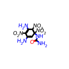 NC(=O)NC1([N+](=O)[O-])C=C(N)C([N+](=O)[O-])=C(N)C1[N+](=O)[O-]